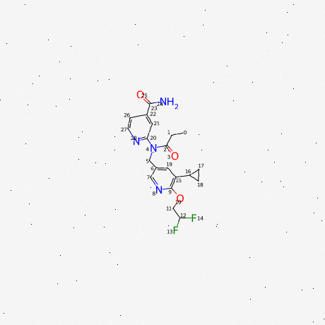 CCC(=O)N(Cc1cnc(OCC(F)F)c(C2CC2)c1)c1cc(C(N)=O)ccn1